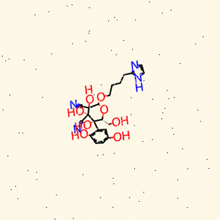 N#C[C@@]1(O)[C@](O)(C#N)[C@H](OCCCCc2ncc[nH]2)O[C@H](CO)[C@@]1(O)c1cc(O)ccc1O